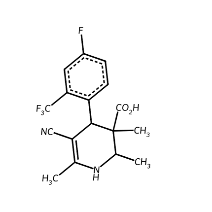 CC1=C(C#N)C(c2ccc(F)cc2C(F)(F)F)C(C)(C(=O)O)C(C)N1